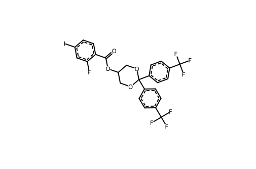 O=C(OC1COC(c2ccc(C(F)(F)F)cc2)(c2ccc(C(F)(F)F)cc2)OC1)c1ccc(I)cc1F